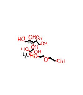 COF.OCCO.OCCOCCO.OC[C@@H](O)[C@H](O)[C@@H](O)CO